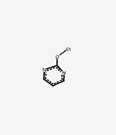 CCOc1nc[c]cn1